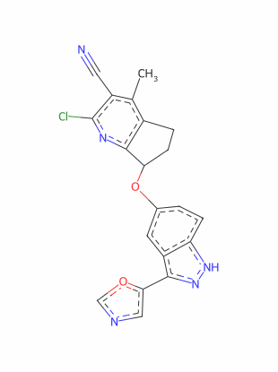 Cc1c(C#N)c(Cl)nc2c1CCC2Oc1ccc2[nH]nc(-c3cnco3)c2c1